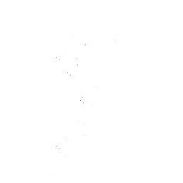 CCOc1cc2ncnc(Oc3cnc(CC(=O)Nc4cc(C5CC5)[nH]n4)c(OC)c3)c2cc1OC